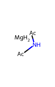 CC(=O)NC(C)=O.[MgH2]